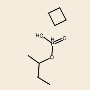 C1CCC1.CCC(C)O[PH](=O)O